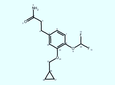 NC(=O)CCc1ccc(OC(F)F)c(OCC2CC2)c1